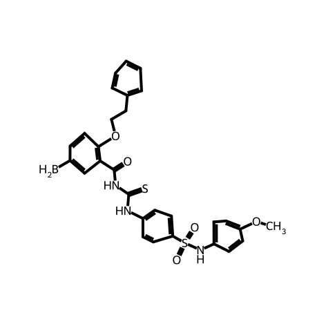 Bc1ccc(OCCc2ccccc2)c(C(=O)NC(=S)Nc2ccc(S(=O)(=O)Nc3ccc(OC)cc3)cc2)c1